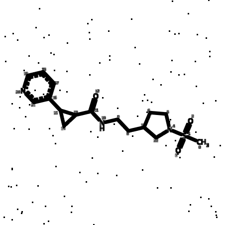 CS(=O)(=O)N1CCC(CCNC(=O)C2CC2c2cccnc2)C1